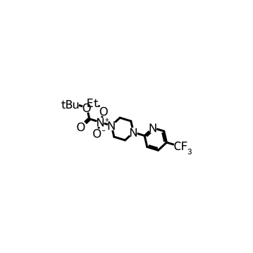 CCO[N+]([O-])(C(=O)OC(C)(C)C)N1CCN(c2ccc(C(F)(F)F)cn2)CC1